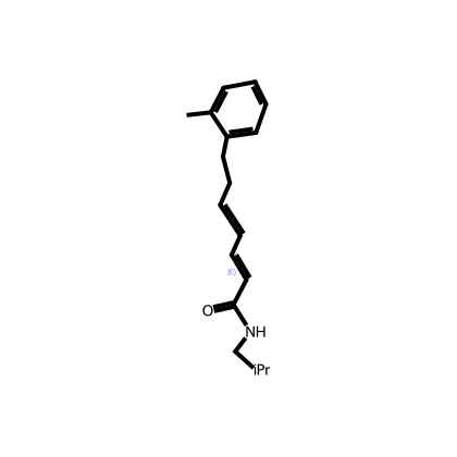 Cc1ccccc1CCC=C/C=C/C(=O)NCC(C)C